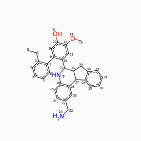 CCc1ccccc1-c1cc(O)c(OC)cc1C1Nc2ccc(CN)cc2C2c3ccccc3CC12